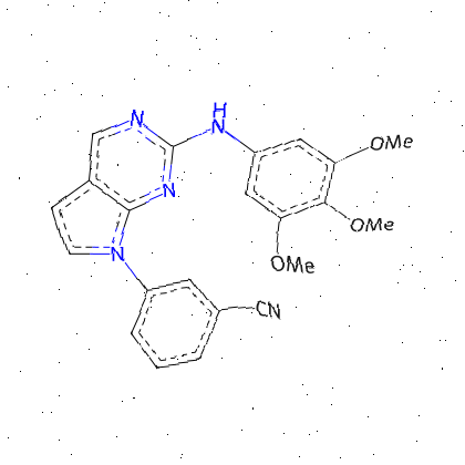 COc1cc(Nc2ncc3ccn(-c4cccc(C#N)c4)c3n2)cc(OC)c1OC